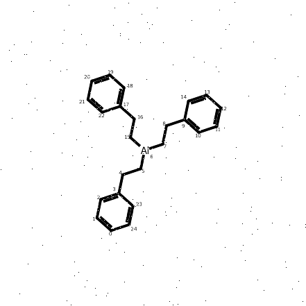 c1ccc(C[CH2][Al]([CH2]Cc2ccccc2)[CH2]Cc2ccccc2)cc1